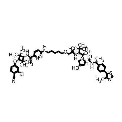 Cc1ncsc1-c1ccc([C@H](C)NC(=O)[C@@H]2C[C@@H](O)CN2C(=O)[C@@H](NC(=O)COCCCCCNc2ccc(C(=O)N[C@H]3C(C)(C)[C@H](Oc4ccc(C#N)c(Cl)c4)C3(C)C)nn2)C(C)(C)C)cc1